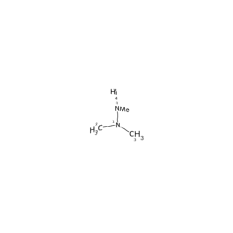 CNN(C)C.I